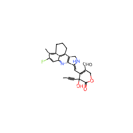 CC#CC1(O)C(=O)OCC(C=O)=C1/C=C1\NCc2c1nc1cc(F)c(C)c3c1c2CCC3